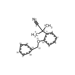 CC(C)(C#N)c1ccccc1OCc1ccccc1